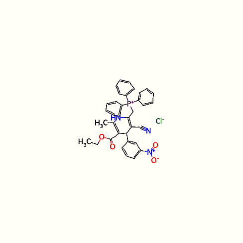 CCOC(=O)C1=C(C)NC(C[P+](c2ccccc2)(c2ccccc2)c2ccccc2)=C(C#N)C1c1cccc([N+](=O)[O-])c1.[Cl-]